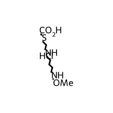 COCNCCCCCNCCCSCC(=O)O.Cl